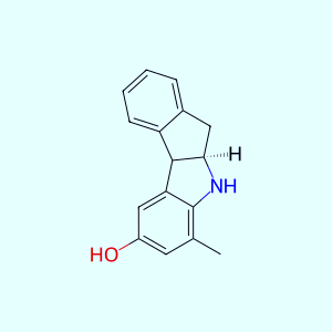 Cc1cc(O)cc2c1N[C@@H]1Cc3ccccc3C21